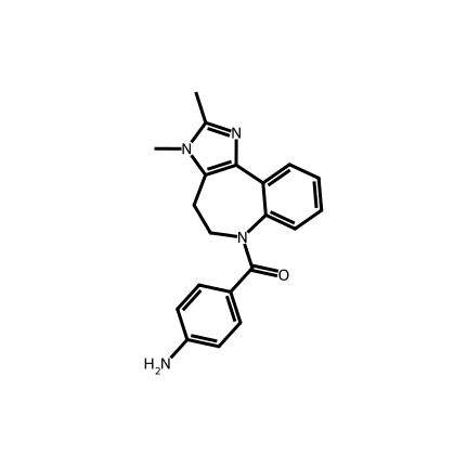 Cc1nc2c(n1C)CCN(C(=O)c1ccc(N)cc1)c1ccccc1-2